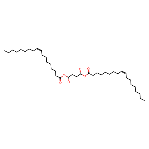 CCCCCCCC/C=C\CCCCCCCC(=O)OC(=O)CCC(=O)OC(=O)CCCCCCC/C=C\CCCCCCCC